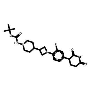 CC(C)(C)OC(=O)NN1CCC(C2CN(c3ccc(C4CCC(=O)NC4=O)cc3F)C2)CC1